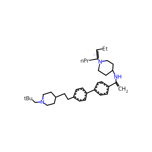 C=C(NC1CCN(/C(=C\CC)CCC)CC1)c1ccc(-c2ccc(CCC3CCN(CC(C)(C)C)CC3)cc2)cc1